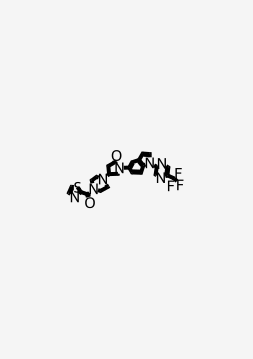 O=C(c1nccs1)N1CCN(C2CC(=O)N(c3ccc4c(ccn4-c4cnc(C(F)(F)F)cn4)c3)C2)CC1